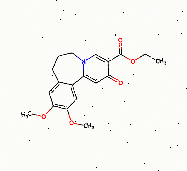 CCOC(=O)c1cn2c(cc1=O)-c1cc(OC)c(OC)cc1CCC2